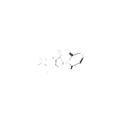 CO[C@@H]1[C@H](O[Si](C)(C)C(C)(C)C)[C@@H](C=O)O[C@H]1n1c(=O)cc[nH]c1=O